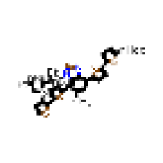 CCCCCCc1ccc(-c2ccc(-c3cc(C)c(-c4cc5c(s4)-c4sccc4[Si]5(CC(CC)CCCC)CC(CC)CCCC)c4nsnc34)s2)s1